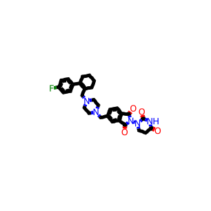 O=C1CCN(N2C(=O)c3ccc(CN4CCN(CC5=C(c6ccc(F)cc6)CCCC5)CC4)cc3C2=O)C(=O)N1